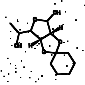 CC(O)C1OC(O)[C@@H]2OC3(CCCCC3)O[C@H]12